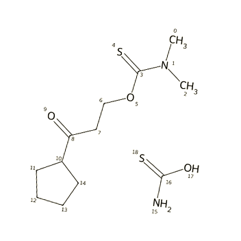 CN(C)C(=S)OCCC(=O)C1CCCC1.NC(O)=S